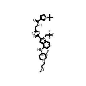 COCCN1CC[C@@H](Nc2cccc3c2cc(-c2noc(CNC(=O)c4ccn(C(C)(C)C)c4)n2)n3CC(F)(F)F)[C@@H](F)C1